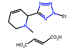 CCn1nnc(C2C=CCCN2C)n1.O=C(O)C=CC(=O)O